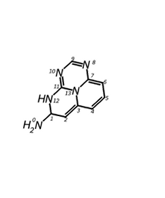 NC1C=C2C=CC=C3N=CN=C(N1)N23